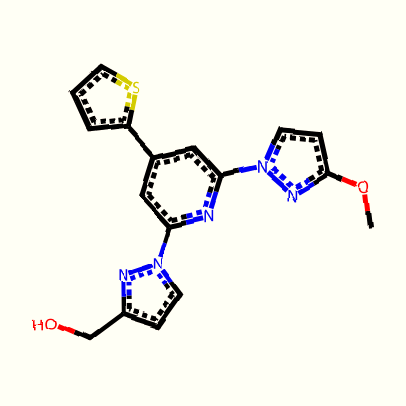 COc1ccn(-c2cc(-c3cccs3)cc(-n3ccc(CO)n3)n2)n1